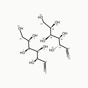 O=C[C@@H](O)[C@H](O)[C@@H](O)[C@H](O)CO.O=C[C@H](O)[C@H](O)[C@@H](O)[C@H](O)CO